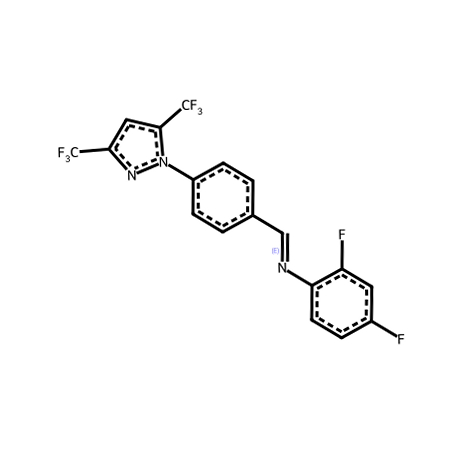 Fc1ccc(/N=C/c2ccc(-n3nc(C(F)(F)F)cc3C(F)(F)F)cc2)c(F)c1